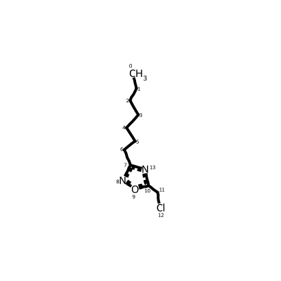 CCCCCCCc1noc(CCl)n1